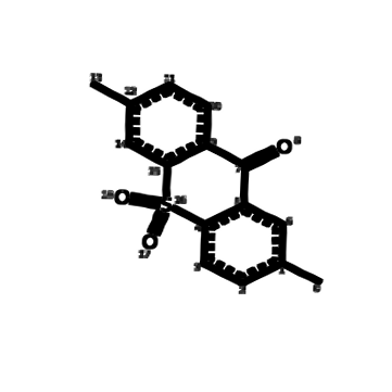 Cc1ccc2c(c1)C(=O)c1ccc(C)cc1S2(=O)=O